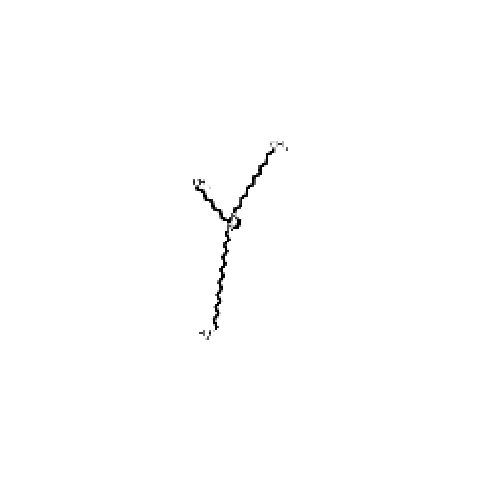 CCCCCCCCCCCCCCCCC[n+]1ccn(CCCCCCCCCCCCC)c1CCCCCCCC